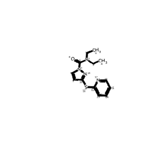 CCN(CC)C(=O)n1ccc(Sc2ccccn2)n1